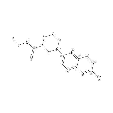 CCOC(=O)C1CCCN(c2ccc3cc(Br)ccc3n2)C1